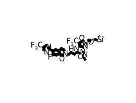 Cc1nnc(C(CCCn2ccc3cc(-c4ncc(C(F)(F)F)cn4)c(F)cc3c2=O)Nc2cnn(COCC[Si](C)(C)C)c(=O)c2C(F)(F)F)o1